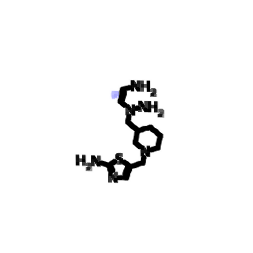 N/C=C\N(N)CC1CCCN(Cc2cnc(N)s2)C1